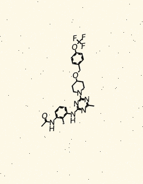 CC(=O)Nc1cccc(Nc2nc(C)nc(N3CCC(OCc4ccc(OC(F)(F)F)cc4)CC3)n2)c1C